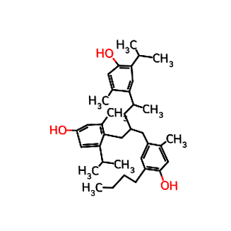 CCCCc1cc(CC(Cc2c(C)cc(O)cc2C(C)C)CC(C)c2cc(C(C)C)c(O)cc2C)c(C)cc1O